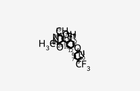 CCc1cc(Oc2ccc(C(F)(F)F)cn2)ccc1-c1c(O)c(C)nn(C)c1=O